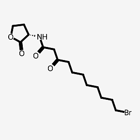 O=C(CCCCCCCCBr)CC(=O)N[C@H]1CCOC1=O